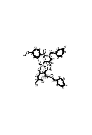 COc1ccc(S(=O)(=O)N(Cc2ccccc2)C[C@@H](C)C[Si](C)(C)OC(CC(C)C)C(=O)NOCc2ccccc2)cc1